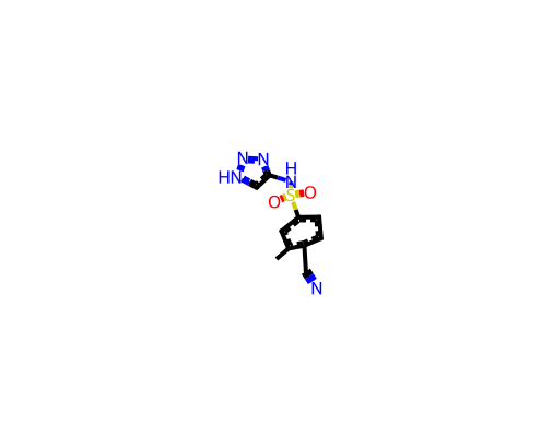 Cc1cc(S(=O)(=O)Nc2c[nH]nn2)ccc1C#N